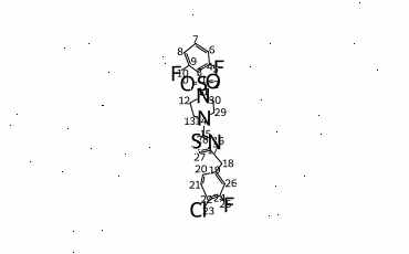 O=S(=O)(c1c(F)cccc1F)N1CCN(c2nc(Cc3ccc(Cl)c(F)c3)cs2)CC1